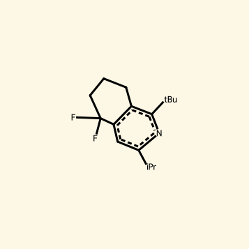 CC(C)c1cc2c(c(C(C)(C)C)n1)CCCC2(F)F